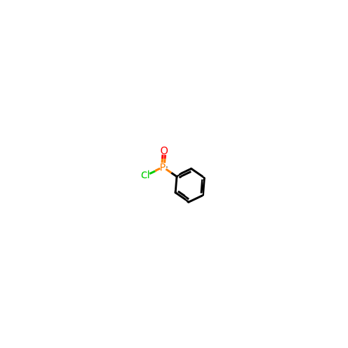 O=[P](Cl)c1ccccc1